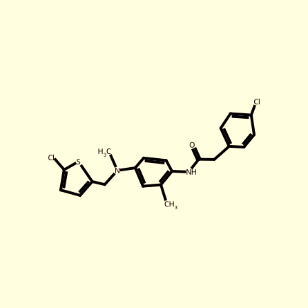 Cc1cc(N(C)Cc2ccc(Cl)s2)ccc1NC(=O)Cc1ccc(Cl)cc1